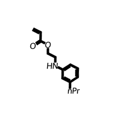 C=CC(=O)OCCNc1cccc(CCC)c1